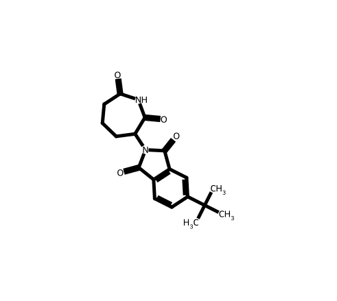 CC(C)(C)c1ccc2c(c1)C(=O)N(C1CCCC(=O)NC1=O)C2=O